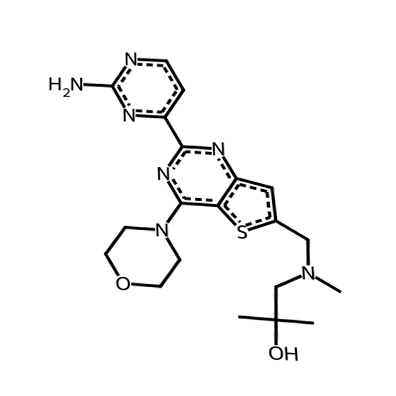 CN(Cc1cc2nc(-c3ccnc(N)n3)nc(N3CCOCC3)c2s1)CC(C)(C)O